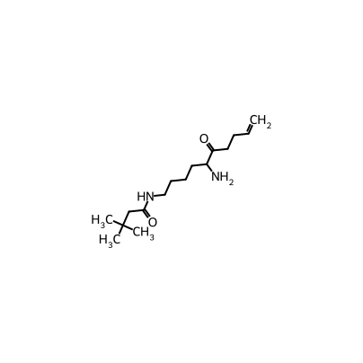 C=CCCC(=O)C(N)CCCCNC(=O)CC(C)(C)C